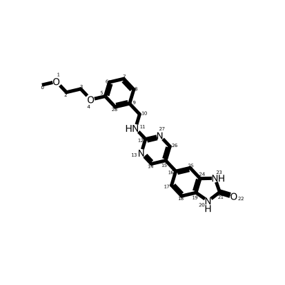 COCCOc1cccc(CNc2ncc(-c3ccc4[nH]c(=O)[nH]c4c3)cn2)c1